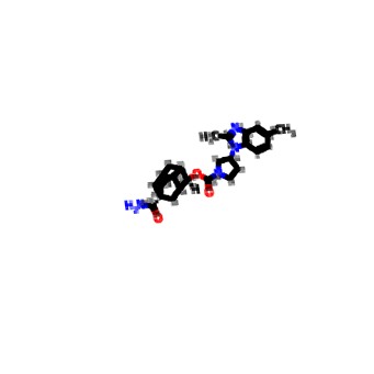 Cc1ccc2c(c1)nc(C)n2[C@H]1CCN(C(=O)O[C@H]2C3CC4CC2C[C@](C(N)=O)(C4)C3)C1